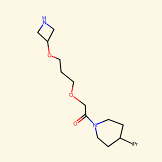 CC(C)C1CCN(C(=O)COCCCOC2CNC2)CC1